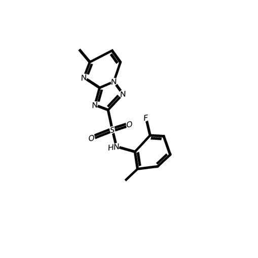 Cc1ccn2nc(S(=O)(=O)Nc3c(C)cccc3F)nc2n1